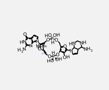 Nc1nc2c(ccn2C2=C3O[PH](O)(O)OCc4oc(N5C=CC6C(N)NCNC65)c(O)c4O[PH](O)(O)O/C=C(/O2)[C@H]3O)c(=O)[nH]1